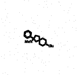 CNC1(c2ccccc2)CCC2(CCN(C(C)(C)C)CC2)C1